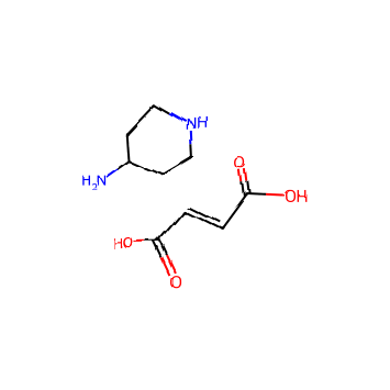 NC1CCNCC1.O=C(O)/C=C/C(=O)O